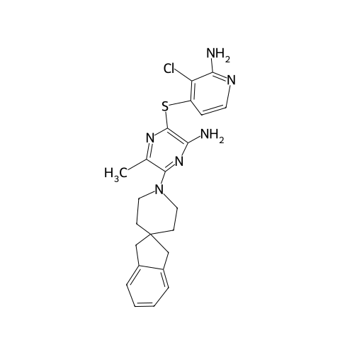 Cc1nc(Sc2ccnc(N)c2Cl)c(N)nc1N1CCC2(CC1)Cc1ccccc1C2